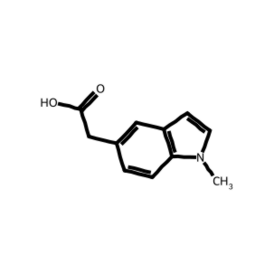 Cn1ccc2cc(CC(=O)O)ccc21